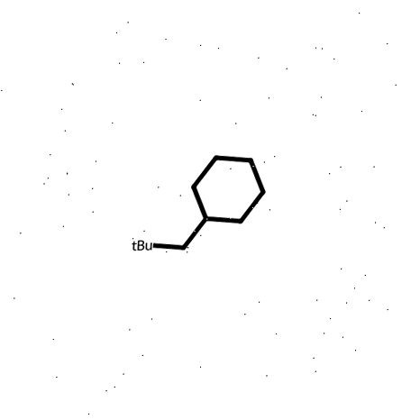 CC(C)(C)[CH]C1CCCCC1